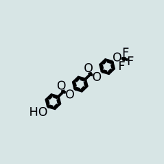 O=C(Oc1ccc(C(=O)Oc2ccc(OC(F)(F)F)cc2)cc1)c1ccc(O)cc1